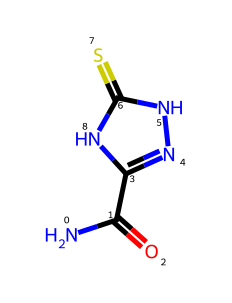 NC(=O)c1n[nH]c(=S)[nH]1